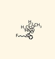 CCOC(=O)C(NC(=O)c1cn(CCCCCF)c2ccccc12)C(C)C